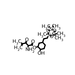 C=C(C)C(=O)C(N)C(=O)OC1CC(CC[Si]2(C)O[Si](C)(C)O[Si](C)(C)O2)CCC1O